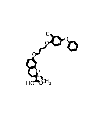 CC[C@@]1(C(=O)O)CCc2ccc(OCCCOc3ccc(Oc4ccccc4)cc3Cl)cc2O1